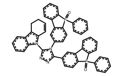 O=P1(c2ccccc2)c2ccccc2-c2cc(-c3nnc(-n4c5c(c6ccccc64)CCC=C5)n3-c3ccc4c(c3)-c3ccccc3P4(=O)c3ccccc3)ccc21